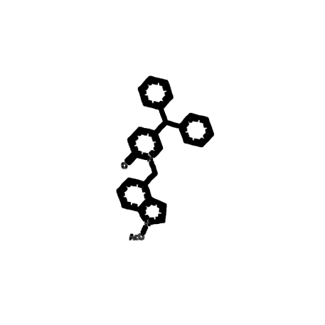 CC(=O)On1ccc2c(Cn3cc(C(c4ccccc4)c4ccccc4)ccc3=O)cccc21